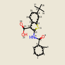 Cc1ccccc1C(=O)Nc1sc2cc(C(C)(C)C)ccc2c1C(=O)O